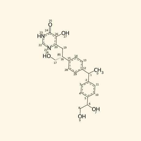 CC(c1ccc(C(O)CO)cc1)c1ccc([C@H](CO)Cc2nc[nH]c(=O)c2O)cc1